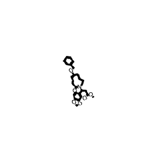 COC(=O)CC(c1ccc2c(c1)OCO2)N1CC/C=C/C(OCc2ccccc2)=C\C=C\C1=O